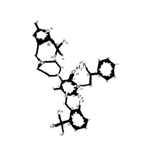 Cc1cc(CN2CCN(c3c(C)n(Cc4c(F)cccc4C(F)(F)F)c(=O)n(CC(N)c4ccccc4)c3=O)CC2)c(C(F)(F)F)o1